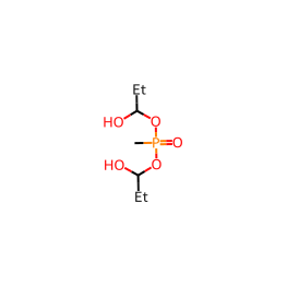 CCC(O)OP(C)(=O)OC(O)CC